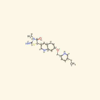 CCc1ccc(COc2ccc3cc(C4SC(=N)N(C)C4=O)cnc3c2)nc1